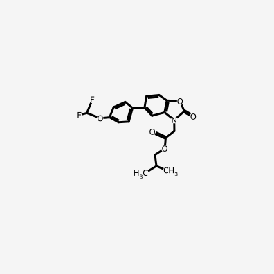 CC(C)COC(=O)Cn1c(=O)oc2ccc(-c3ccc(OC(F)F)cc3)cc21